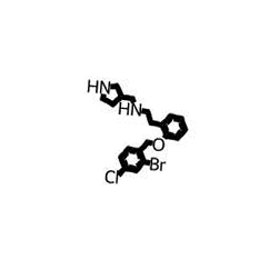 Clc1ccc(COc2ccccc2CCNCC2CCNC2)c(Br)c1